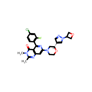 Cc1nc2cc(N3CCO[C@@H](c4cnn(C5COC5)c4)C3)nc(-c3ccc(Cl)cc3F)c2c(=O)n1C